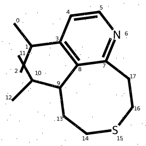 CC(C)c1ccnc2c1C(C(C)C)CCSCC2